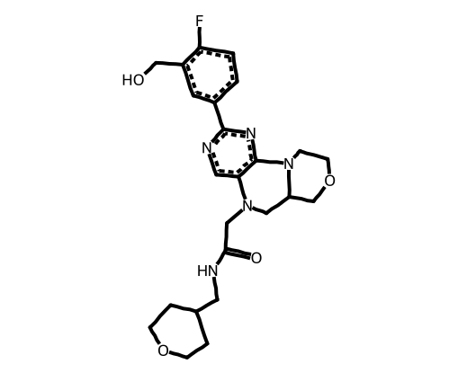 O=C(CN1CC2COCCN2c2nc(-c3ccc(F)c(CO)c3)ncc21)NCC1CCOCC1